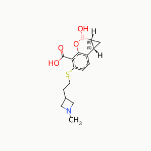 CN1CC(CCSc2ccc3c(c2C(=O)O)OB(O)[C@@H]2C[C@H]32)C1